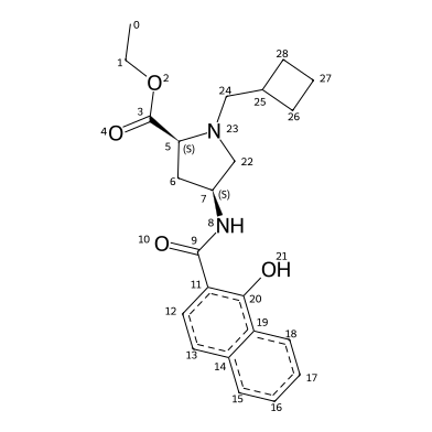 CCOC(=O)[C@@H]1C[C@H](NC(=O)c2ccc3ccccc3c2O)CN1CC1CCC1